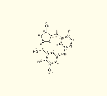 Cc1cnc(Nc2cc(CO)c(Br)c(C(F)(F)F)c2)nc1NC1COCC1C#N